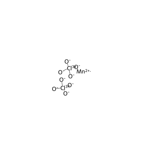 [Mn+2].[O-][Cl+3]([O-])([O-])[O-].[O-][Cl+3]([O-])([O-])[O-]